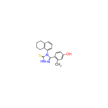 Cc1cc(O)ccc1-c1n[nH]c(=S)n1-c1cccc2c1CCCC2